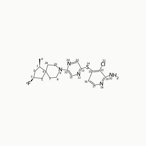 C[C@@H]1C[C@H](F)CC12CCN(c1cnc(Sc3ccnc(N)c3Cl)cn1)CC2